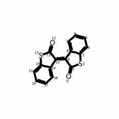 O=C1Sc2ccccc2C1=C1C(=O)Sc2ccccc21